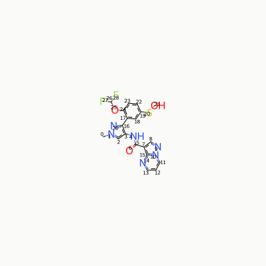 Cn1cc(NC(=O)c2cnn3cccnc23)c(-c2cc(SO)ccc2OC(F)F)n1